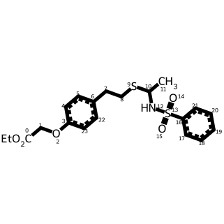 CCOC(=O)COc1ccc(CCSC(C)NS(=O)(=O)c2ccccc2)cc1